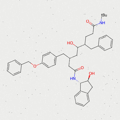 CC(C)(C)NC(=O)CCC(Cc1ccccc1)C(O)CC(CC(=O)N[C@H]1c2ccccc2C[C@@H]1O)Cc1ccc(OCc2ccccc2)cc1